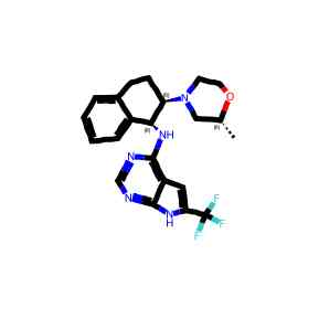 C[C@@H]1CN([C@@H]2CCc3ccccc3[C@H]2Nc2ncnc3[nH]c(C(F)(F)F)cc23)CCO1